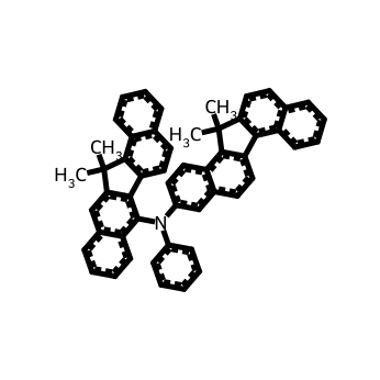 CC1(C)c2cc3ccccc3c(N(c3ccccc3)c3ccc4c5c(ccc4c3)-c3c(ccc4ccccc34)C5(C)C)c2-c2ccc3ccccc3c21